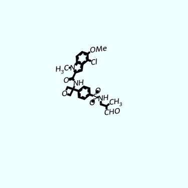 COc1ccc2c(cc(C(=O)NC3(c4ccc(S(=O)(=O)NCC(C)C=O)cc4)COC3)n2C)c1Cl